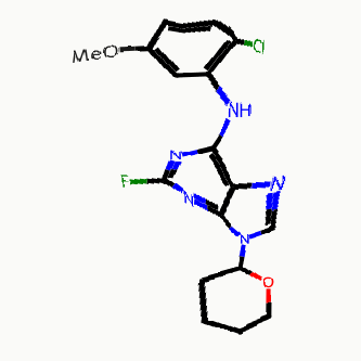 COc1ccc(Cl)c(Nc2nc(F)nc3c2ncn3C2CCCCO2)c1